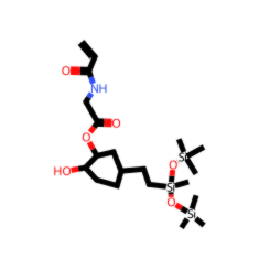 C=CC(=O)NCC(=O)OC1CC(CC[Si](C)(O[Si](C)(C)C)O[Si](C)(C)C)CCC1O